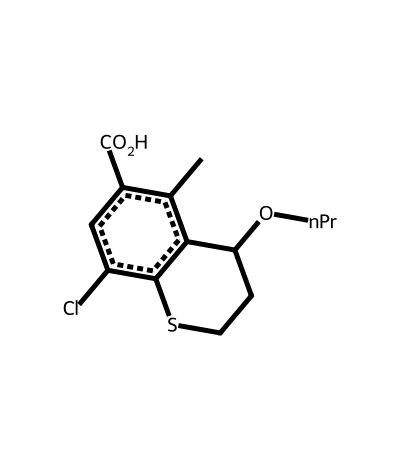 CCCOC1CCSc2c(Cl)cc(C(=O)O)c(C)c21